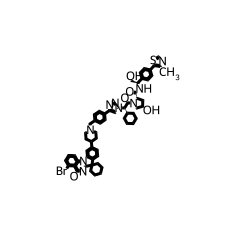 Cc1ncsc1-c1ccc([C@H](CO)NC(=O)[C@@H]2C[C@@H](O)CN2C(=O)[C@H](C2CCCCC2)n2cc(-c3ccc(CN4CCC(c5ccc6c(c5)-n5c(nc(=O)c7c(Br)cccc75)C65CCCCC5)CC4)cc3)nn2)cc1